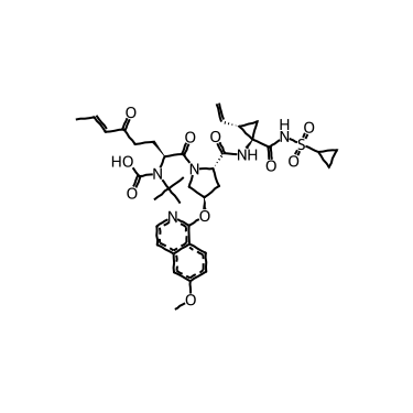 C=C[C@@H]1C[C@]1(NC(=O)[C@@H]1C[C@@H](Oc2nccc3cc(OC)ccc23)CN1C(=O)[C@H](CCC(=O)C=CC)N(C(=O)O)C(C)(C)C)C(=O)NS(=O)(=O)C1CC1